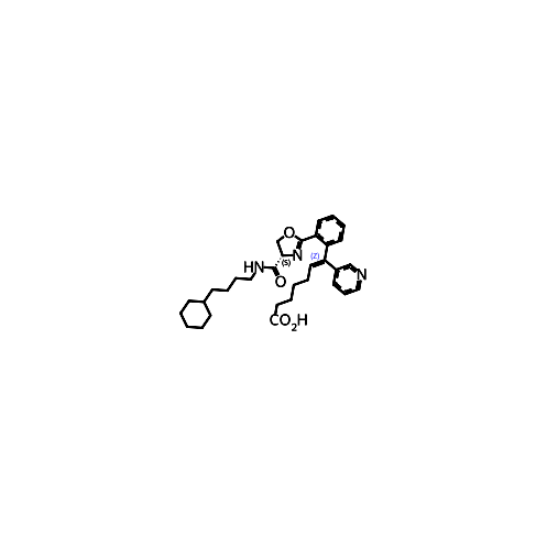 O=C(O)CCCC/C=C(\c1cccnc1)c1ccccc1C1=N[C@H](C(=O)NCCCCC2CCCCC2)CO1